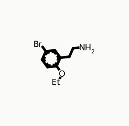 CCOc1ccc(Br)cc1CCN